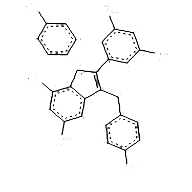 CC(=O)Oc1ccc(CC2=C(c3cc(OC(C)=O)cc(OC(C)=O)c3)[C@@H](c3ccc(OC(C)=O)cc3)c3c(OC(C)=O)cc(OC(C)=O)cc32)cc1